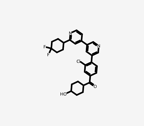 O=C(c1ccc(-c2cncc(-c3ccnc(C4CCC(F)(F)CC4)c3)c2)c(Cl)c1)C1CCC(O)CC1